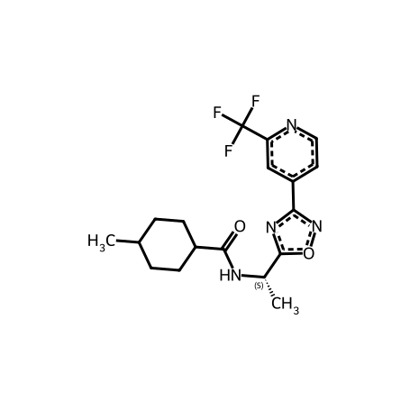 CC1CCC(C(=O)N[C@@H](C)c2nc(-c3ccnc(C(F)(F)F)c3)no2)CC1